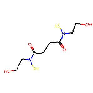 O=C(CCC(=O)N(S)CCO)N(S)CCO